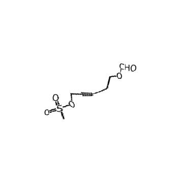 CS(=O)(=O)OCC#CCCOC=O